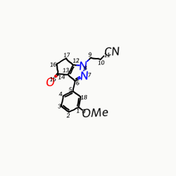 COc1cccc(-c2nn(CCC#N)c3c2C(=O)CC3)c1